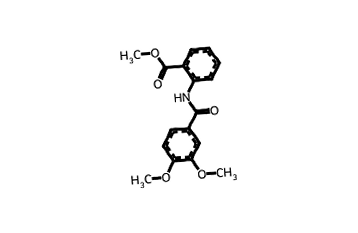 COC(=O)c1ccccc1NC(=O)c1ccc(OC)c(OC)c1